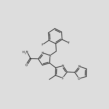 Cc1sc(-c2ncco2)nc1-c1cc(C(N)=O)nn1Cc1c(F)cccc1F